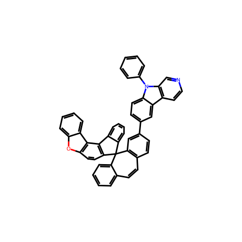 C1=Cc2ccc(-c3ccc4c(c3)c3ccncc3n4-c3ccccc3)cc2C2(c3ccccc31)c1ccccc1-c1c2ccc2oc3ccccc3c12